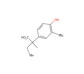 CC(C)(C)CC(C)(C(=O)O)c1ccc(O)c(C(C)(C)C)c1